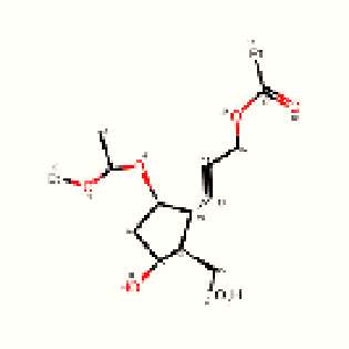 CCOC(C)O[C@@H]1C[C@H](O)[C@H](CC(=O)O)[C@H]1C=CCOC(=O)CC